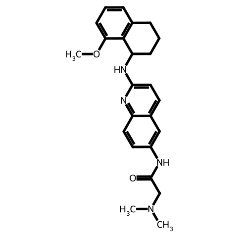 COc1cccc2c1C(Nc1ccc3cc(NC(=O)CN(C)C)ccc3n1)CCC2